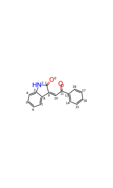 O=C1Nc2ccccc2C1=CC(=O)c1ccccc1